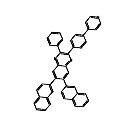 c1ccc(-c2nc3cc(-c4ccc5ccccc5c4)c(-c4ccc5ccccc5c4)cc3nc2-c2ccc(-c3ccncc3)cc2)cc1